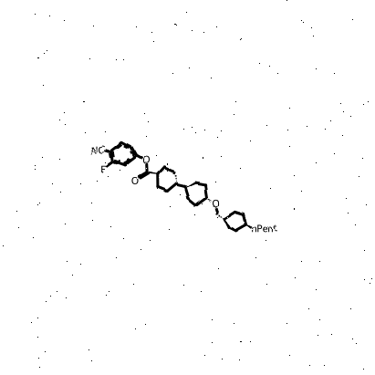 CCCCC[C@H]1CC[C@H](CO[C@H]2CC[C@H]([C@H]3CC[C@H](C(=O)Oc4ccc(C#N)c(F)c4)CC3)CC2)CC1